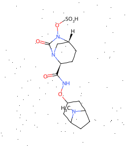 CN1C2CCC1CC(ONC(=O)[C@@H]1CC[C@@H]3CN1C(=O)N3OS(=O)(=O)O)C2